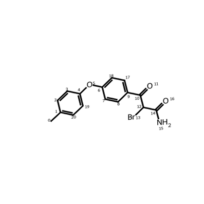 Cc1ccc(Oc2ccc(C(=O)C(Br)C(N)=O)cc2)cc1